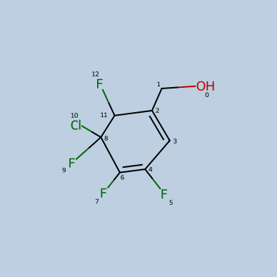 OCC1=CC(F)=C(F)C(F)(Cl)C1F